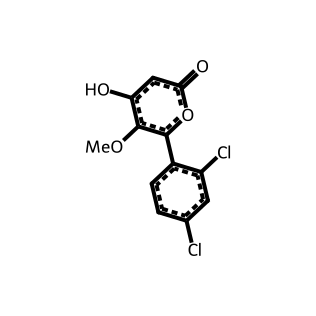 COc1c(O)cc(=O)oc1-c1ccc(Cl)cc1Cl